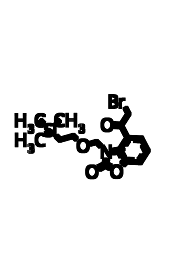 C[Si](C)(C)CCOCn1c(=O)oc2cccc(C(=O)CBr)c21